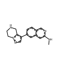 CNc1cc2cc(-c3cnn4c3CNCC4)ccc2cn1